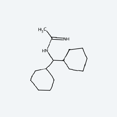 CC(=N)NC(C1CCCCC1)C1CCCCC1